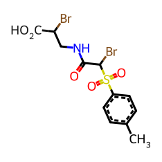 Cc1ccc(S(=O)(=O)C(Br)C(=O)NCC(Br)C(=O)O)cc1